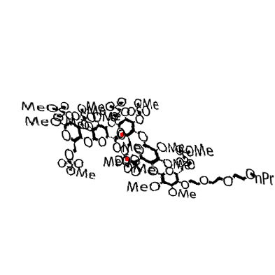 CCCOCCOCCOCCO[C@H]1[C@H](OC)[C@@H](OC)[C@@H](O[C@H]2[C@H](OC)[C@@H](OC)[C@H](O[C@H]3[C@H](OS(=O)(=O)OC)[C@@H](OS(=O)(=O)OC)[C@@H](O[C@H]4[C@H](OC)[C@@H](OC)[C@H](O[C@H]5[C@H](OS(=O)(=O)OC)[C@@H](OS(=O)(=O)OC)[C@@H](OC)O[C@@H]5COS(=O)(=O)OC)O[C@H]4C(=O)OC)O[C@@H]3COS(=O)(=O)OC)O[C@@H]2C(=O)OC)O[C@@H]1COS(=O)(=O)OC